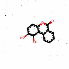 O=c1oc2ccc(O)c(O)c2c2ccccc12